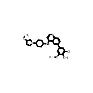 COc1cc(-c2ccc3nc[c]c(NC4CCC(N5CCC(OC)C5)CC4)c3c2)cc(Cl)c1O